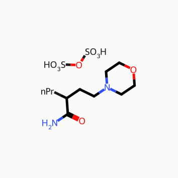 CCCC(CCN1CCOCC1)C(N)=O.O=S(=O)(O)OS(=O)(=O)O